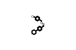 Clc1ccc(CO/N=[C]\c2ccc(C3CCCCC3)cc2)cc1